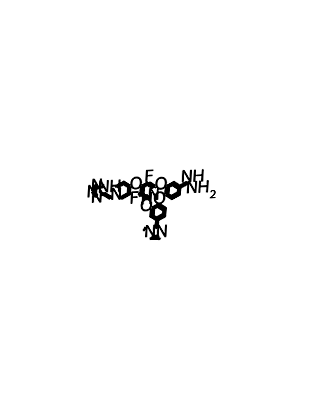 Cn1ccnc1-c1cccc(Oc2nc(Oc3cc(C(=N)N)ccc3O)c(F)c(OC3CCN(Cc4nnn[nH]4)CC3)c2F)c1